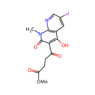 COC(=O)CCC(=O)c1c(O)c2cc(I)cnc2n(C)c1=O